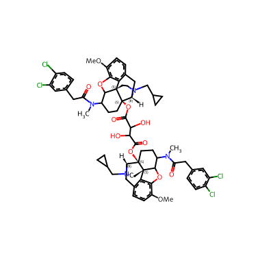 COc1ccc2c3c1OC1C(N(C)C(=O)Cc4ccc(Cl)c(Cl)c4)CC[C@@]4(OC(=O)C(O)C(O)C(=O)O[C@@]56CCC(N(C)C(=O)Cc7ccc(Cl)c(Cl)c7)C7Oc8c(OC)ccc9c8[C@@]75CCN(CC5CC5)[C@@H]6C9)[C@@H](C2)N(CC2CC2)CC[C@]314